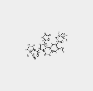 COc1cc2c(cc1B1OC(C)(C)C(C)(C)O1)-c1c(-c3cccs3)cc(C(=O)N3CCC[C@]3(C)C#N)n1CC2